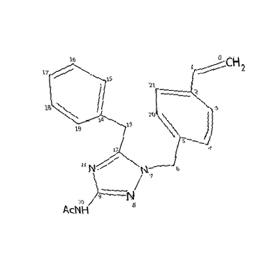 C=Cc1ccc(Cn2nc(NC(C)=O)nc2Cc2ccccc2)cc1